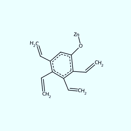 C=Cc1cc([O][Zn])c(C=C)c(C=C)c1C=C